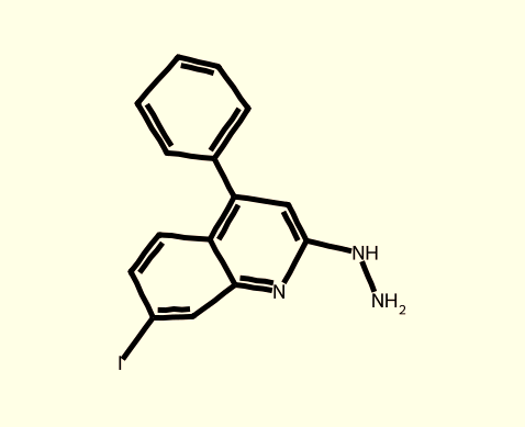 NNc1cc(-c2ccccc2)c2ccc(I)cc2n1